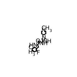 Cc1ccc(F)c2c1NC(C(=O)NC1CN(C3CCN(C)CC3)CN1)C2